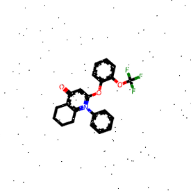 O=c1cc(Oc2ccccc2OC(F)(F)F)n(-c2ccccc2)c2c1CCCC2